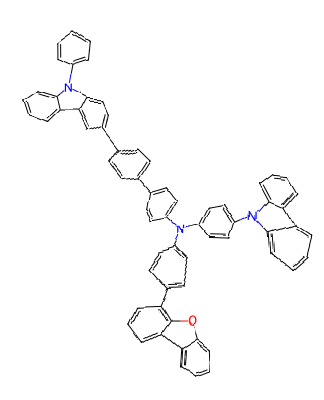 c1ccc(-n2c3ccccc3c3cc(-c4ccc(-c5ccc(N(c6ccc(-c7cccc8c7oc7ccccc78)cc6)c6ccc(-n7c8ccccc8c8ccccc87)cc6)cc5)cc4)ccc32)cc1